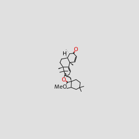 COC(=O)[C@]1(CCC(C)(C)[C@]2(C)CC[C@H]3[C@H](C)C(=O)C=C[C@]3(C)/C2=C/C(C)=O)CCC(C)(C)CC1C